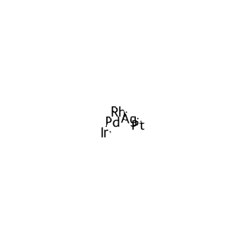 [Ag].[Ir].[Pd].[Pt].[Rh]